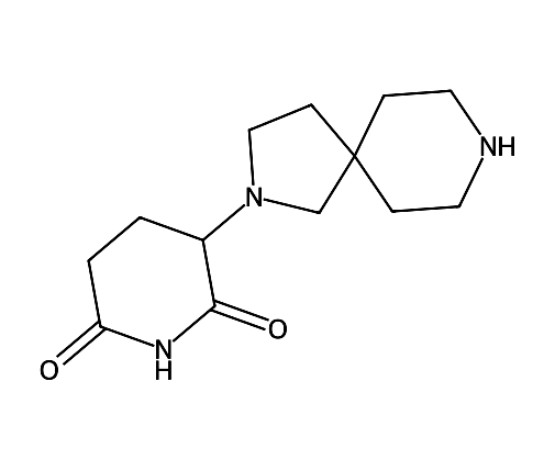 O=C1CCC(N2CCC3(CCNCC3)C2)C(=O)N1